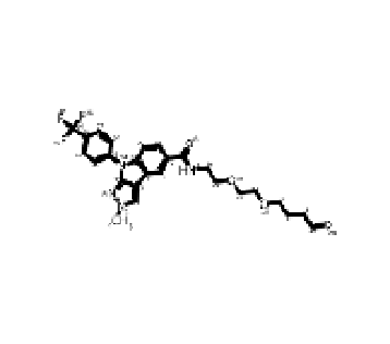 Cn1cc2c3cc(C(=O)NCCOCCOCCCC=O)ccc3n(-c3ccc(C(F)(F)F)cc3)c2n1